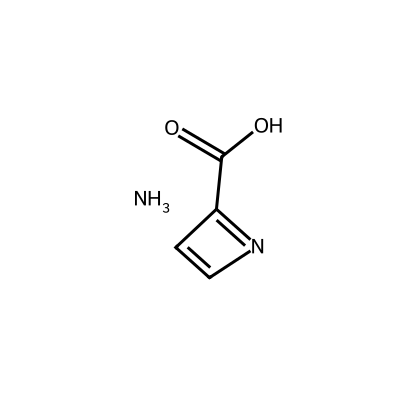 N.O=C(O)C1=NC=C1